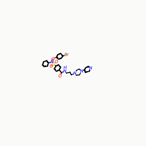 O=C(NCCCN1CCN(c2ccncc2)CC1)c1ccc(S(=O)(=O)N(Oc2ccc(Br)cc2)c2ccccc2)cc1